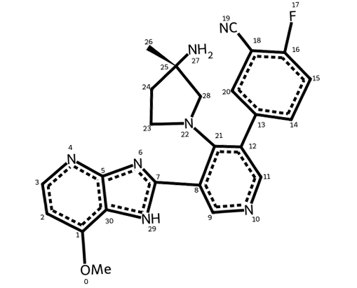 COc1ccnc2nc(-c3cncc(-c4ccc(F)c(C#N)c4)c3N3CC[C@](C)(N)C3)[nH]c12